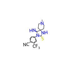 CN1CCC2(CC1)NC(=S)N(c1ccc(C#N)c(C(F)(F)F)c1)C2=N